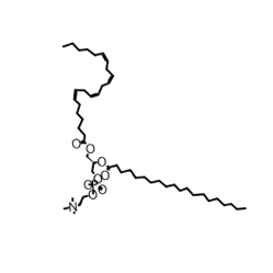 CCCCC/C=C\C/C=C\C/C=C\C/C=C\CCCCCC(=O)OC[C@H](COP(=O)([O-])OCC[N+](C)(C)C)OC(=O)CCCCCCCCCCCCCCCCCCC